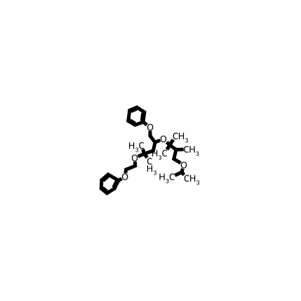 CC(C)OCC(C)C(C)(C)OC(COc1ccccc1)CC(C)(C)OCCOc1ccccc1